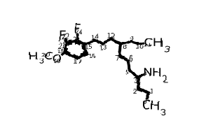 CCCC(N)CCCC(CCC)CCCc1ccc(OC)c(F)c1F